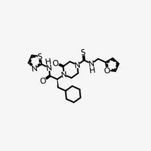 O=C(Nc1nccs1)[C@H](CC1CCCCC1)N1CCN(C(=S)NCc2ccco2)CC1=O